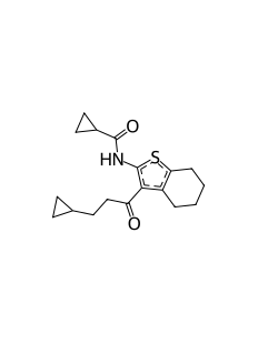 O=C(CCC1CC1)c1c(NC(=O)C2CC2)sc2c1CCCC2